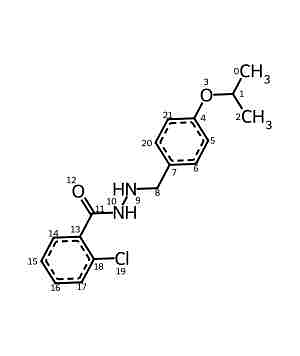 CC(C)Oc1ccc(CNNC(=O)c2ccccc2Cl)cc1